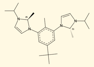 Cc1c(N2C=CN(C(C)C)[C@@H]2C)cc(C(C)(C)C)cc1N1C=CN(C(C)C)[C@H]1C